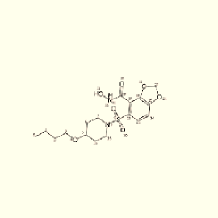 CCCCOC1CCN(S(=O)(=O)c2ccc3c(c2C(=O)NO)OCO3)CC1